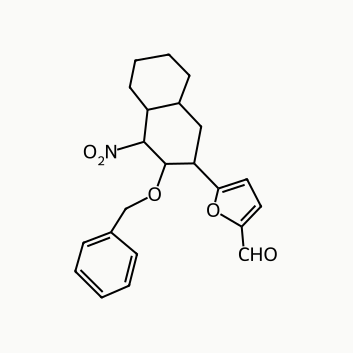 O=Cc1ccc(C2CC3CCCCC3C([N+](=O)[O-])C2OCc2ccccc2)o1